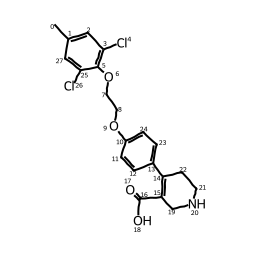 Cc1cc(Cl)c(OCCOc2ccc(C3=C(C(=O)O)CNCC3)cc2)c(Cl)c1